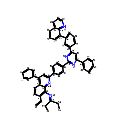 C=Cc1ccc2c(-c3ccccc3)cc(-c3ccc(-c4nc(-c5ccccc5)cc(-c5cccc(-c6cccc7cccnc67)c5)n4)cc3)nc2c1N=C(CC)CC